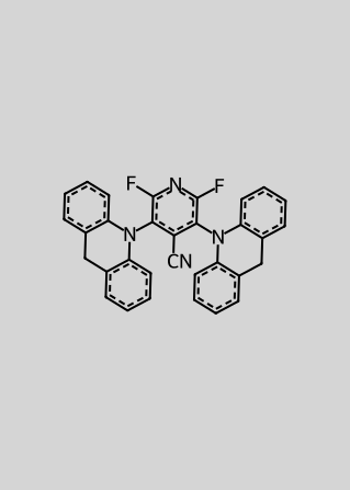 N#Cc1c(N2c3ccccc3Cc3ccccc32)c(F)nc(F)c1N1c2ccccc2Cc2ccccc21